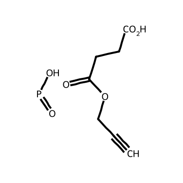 C#CCOC(=O)CCC(=O)O.O=PO